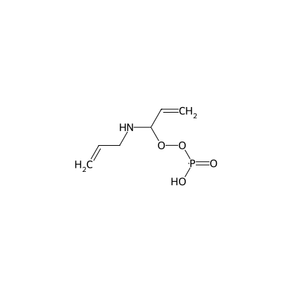 C=CCNC(C=C)OO[P](=O)O